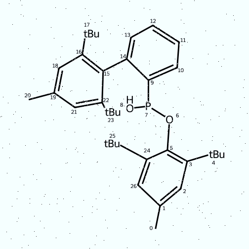 Cc1cc(C(C)(C)C)c(OP(O)c2ccccc2-c2c(C(C)(C)C)cc(C)cc2C(C)(C)C)c(C(C)(C)C)c1